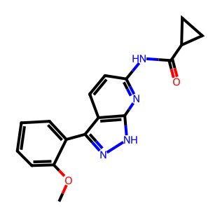 COc1ccccc1-c1n[nH]c2nc(NC(=O)C3CC3)ccc12